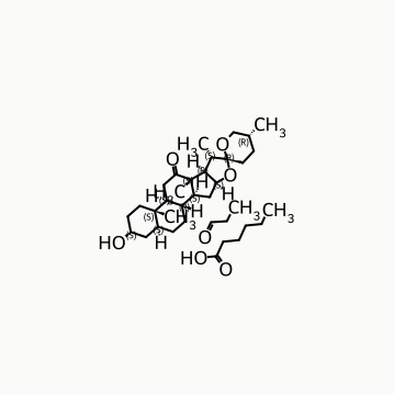 CCC=O.CCCCCC(=O)O.C[C@@H]1CC[C@@]2(OC1)O[C@H]1C[C@H]3[C@@H]4CC[C@H]5C[C@@H](O)CC[C@]5(C)[C@H]4CC(=O)[C@]3(C)[C@H]1[C@@H]2C